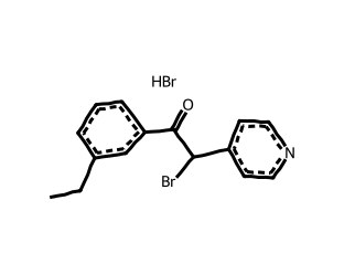 Br.CCc1cccc(C(=O)C(Br)c2ccncc2)c1